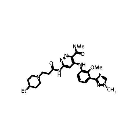 CCC1CCN(CCC(=O)Nc2cc(Nc3cccc(-c4ncn(C)n4)c3OC)c(C(=O)NC)nn2)CC1